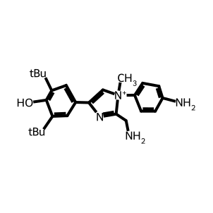 CC(C)(C)c1cc(C2=C[N+](C)(c3ccc(N)cc3)C(CN)=N2)cc(C(C)(C)C)c1O